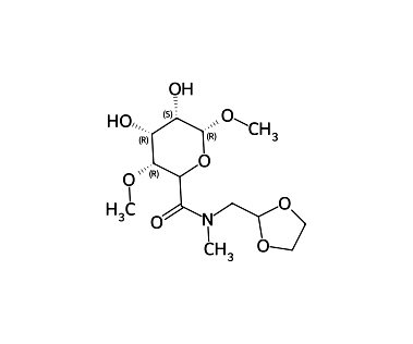 CO[C@@H]1OC(C(=O)N(C)CC2OCCO2)[C@H](OC)[C@H](O)[C@@H]1O